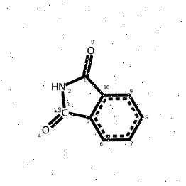 O=C1N[13C](=O)c2ccccc21